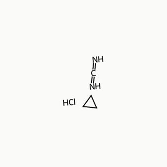 C1CC1.Cl.N=C=N